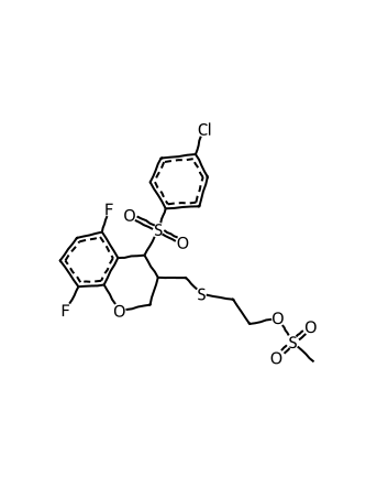 CS(=O)(=O)OCCSCC1COc2c(F)ccc(F)c2C1S(=O)(=O)c1ccc(Cl)cc1